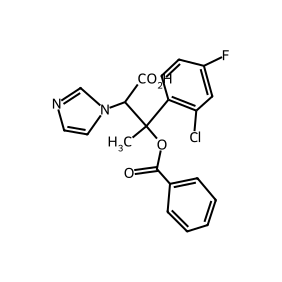 CC(OC(=O)c1ccccc1)(c1ccc(F)cc1Cl)C(C(=O)O)n1ccnc1